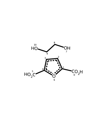 O=C(O)c1ccc(C(=O)O)o1.OCCO